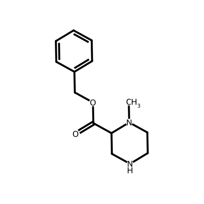 CN1CCNCC1C(=O)OCc1ccccc1